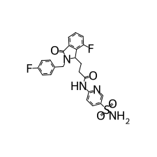 NS(=O)(=O)c1ccc(NC(=O)CCC2c3c(F)cccc3C(=O)N2Cc2ccc(F)cc2)nc1